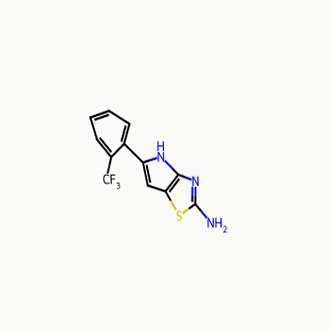 Nc1nc2[nH]c(-c3ccccc3C(F)(F)F)cc2s1